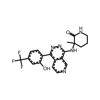 CC1(Nc2nnc(-c3ccc(C(F)(F)F)cc3O)c3ccncc23)CCCNC1=O